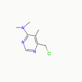 Cc1c(CCl)ncnc1N(C)C